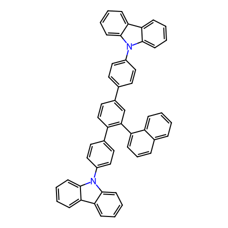 c1ccc2c(-c3cc(-c4ccc(-n5c6ccccc6c6ccccc65)cc4)ccc3-c3ccc(-n4c5ccccc5c5ccccc54)cc3)cccc2c1